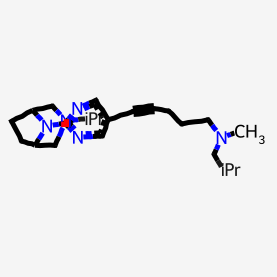 CC(C)CN(C)CCCC#Cc1cnc(N2C3CCC2CN(C(C)C)C3)nc1